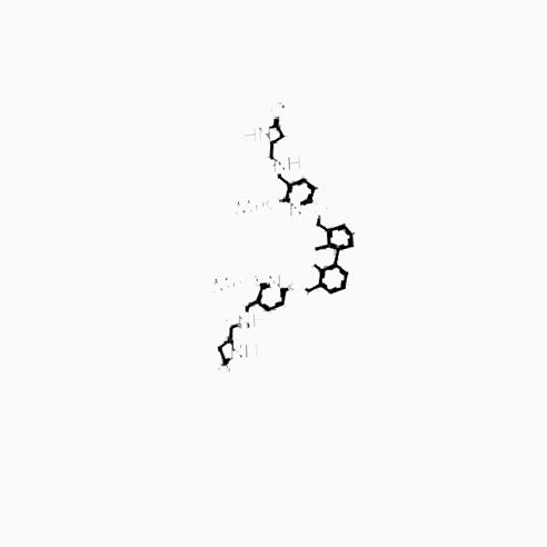 COc1nc(OCc2cccc(-c3cccc(COc4ccc(CNCC5CC(=O)N5)c(OC)n4)c3C)c2C)ccc1CNCC1CC(=O)N1